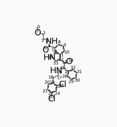 COCCNC(=O)c1cccc2c(C(=O)C(NCCc3ccc(Cl)cc3Cl)c3ccccc3)c[nH]c12